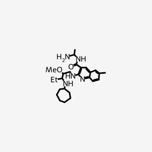 CCC(NC1CCCCCC1)C(CNc1nc2ccc(C)cc2cc1C(=O)NC(C)N)OC